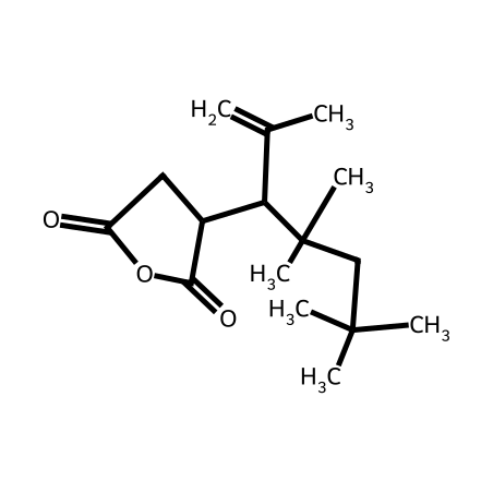 C=C(C)C(C1CC(=O)OC1=O)C(C)(C)CC(C)(C)C